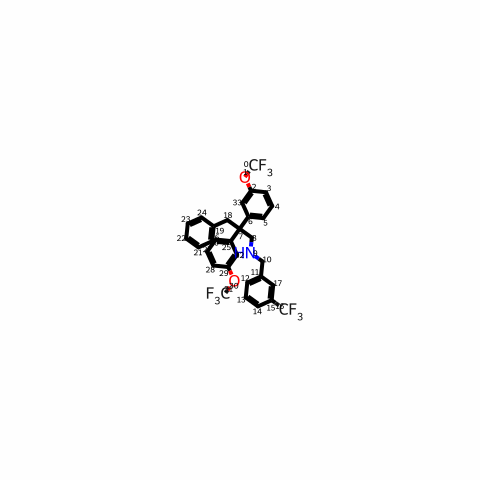 FC(F)(F)Oc1cccc(C(CNCc2cccc(C(F)(F)F)c2)(Cc2ccccc2)c2cccc(OC(F)(F)F)c2)c1